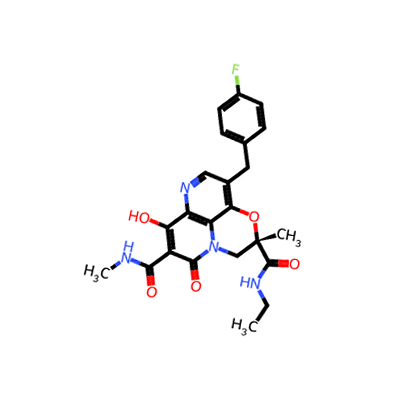 CCNC(=O)[C@]1(C)Cn2c(=O)c(C(=O)NC)c(O)c3ncc(Cc4ccc(F)cc4)c(c32)O1